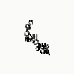 CC(C(=O)Nc1ccc(C(=O)Nc2cc(-c3ccc(Cl)s3)ccc2N)cc1)N1CCCC1=O